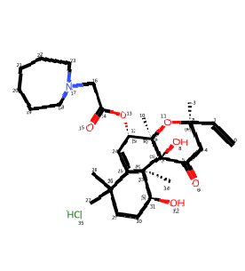 C=C[C@@]1(C)CC(=O)[C@@]2(O)[C@](C)(O1)[C@@H](OC(=O)CN1CCCCCC1)C=C1C(C)(C)CC[C@H](O)[C@@]12C.Cl